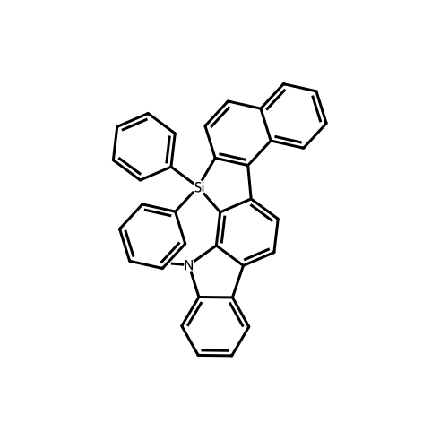 Cn1c2ccccc2c2ccc3c(c21)[Si](c1ccccc1)(c1ccccc1)c1ccc2ccccc2c1-3